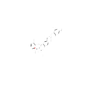 CC1(O)Sc2ccc(C(=O)NCc3c(F)cc(F)cc3F)cc2N(Cc2c(F)cccc2Cl)C1=O